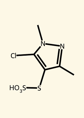 Cc1nn(C)c(Cl)c1SS(=O)(=O)O